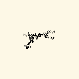 NC(=O)NCCC[C@H](NC(=O)CNC(=O)CCCCCN1C(=O)C=CC1=O)C(=O)Nc1ccc(COC(=O)N2CCN(C(=O)O)C[C@@H]2CCC(=O)O)cc1